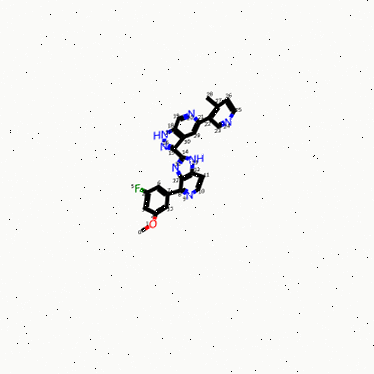 COc1cc(F)cc(-c2nccc3[nH]c(-c4n[nH]c5cnc(-c6cnccc6C)cc45)nc23)c1